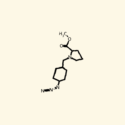 COC(=O)C1CCCN1CC1CCC(N=[N+]=[N-])CC1